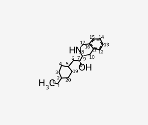 CCC1CCC(C[C@@H](O)[C@@H]2Cc3ccccc3CN2)CC1